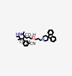 CC1NC(C)C(CCCOCCCN2CCC(c3ccccc3)(c3ccccc3)CC2)(C(=O)O)C(c2cccc(C#N)c2)C1(C)C(=O)O